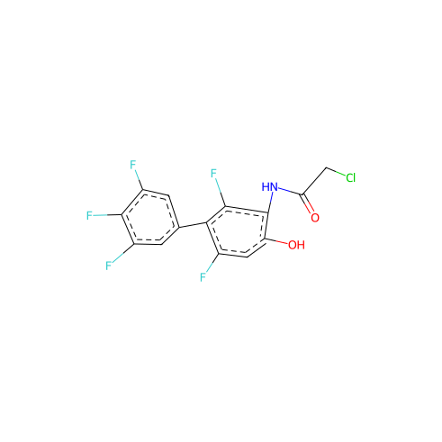 O=C(CCl)Nc1c(O)cc(F)c(-c2cc(F)c(F)c(F)c2)c1F